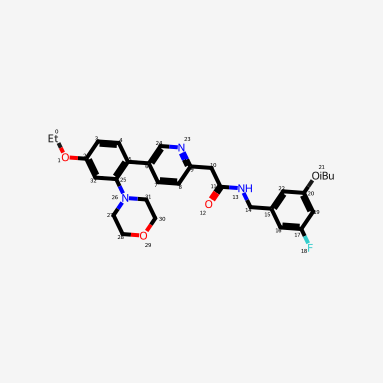 CCOc1ccc(-c2ccc(CC(=O)NCc3cc(F)cc(OCC(C)C)c3)nc2)c(N2CCOCC2)c1